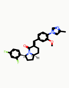 COc1cc(C=C2CC[C@H]3CC[C@@H](c4ccc(F)cc4F)N3C2=O)ccc1-n1cnc(C)c1